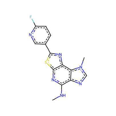 CNc1nc2sc(-c3ccc(F)nc3)nc2c2c1ncn2C